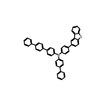 c1ccc(-c2ccc(-c3ccc(N(c4ccc(-c5ccccc5)cc4)c4ccc(-c5ccc6sc7ccccc7c6c5)cc4)cc3)cc2)cc1